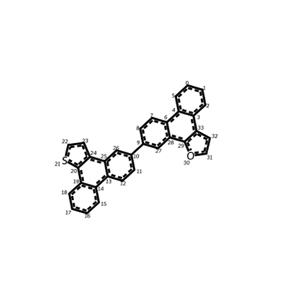 c1ccc2c(c1)c1ccc(-c3ccc4c5ccccc5c5sccc5c4c3)cc1c1occc21